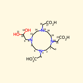 CC1CN(CC(=O)O)CCN(CC(O)O)CCN(CC(=O)O)CCN1CC(=O)O